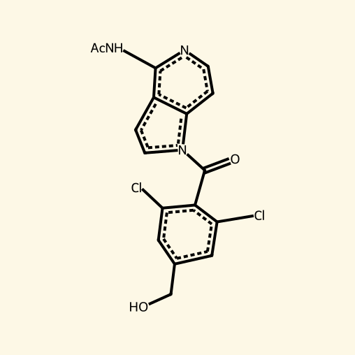 CC(=O)Nc1nccc2c1ccn2C(=O)c1c(Cl)cc(CO)cc1Cl